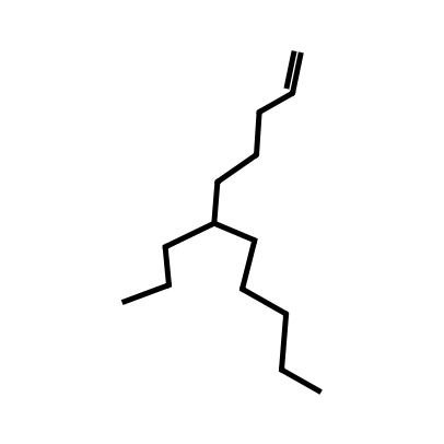 C=CCCCC(CCC)CCCCC